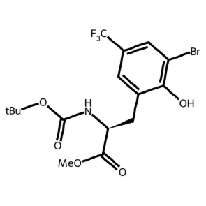 COC(=O)[C@H](Cc1cc(C(F)(F)F)cc(Br)c1O)NC(=O)OC(C)(C)C